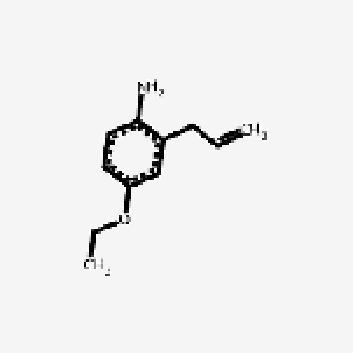 C=CCc1cc(OCC)ccc1N